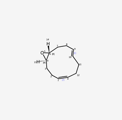 C1=C\CC[C@H]2O[C@@H]2CC/C=C/CC/1